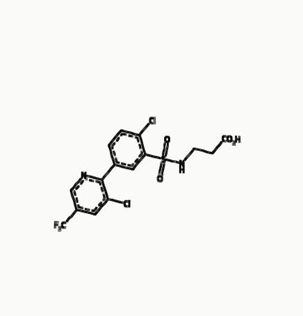 O=C(O)CCNS(=O)(=O)c1cc(-c2ncc(C(F)(F)F)cc2Cl)ccc1Cl